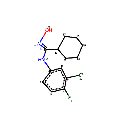 O/N=C(/Nc1ccc(F)c(Cl)c1)C1CCCCC1